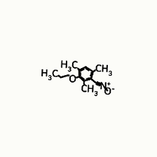 CCCOc1c(C)cc(C)c(C#[N+][O-])c1C